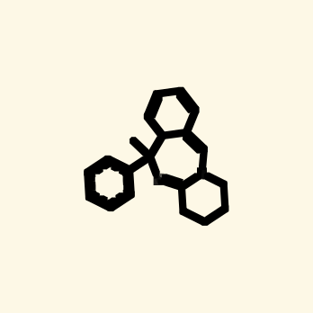 CC1(c2ccccc2)N=C2CCCCN2C=C2C=CC=CC21